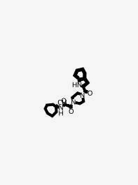 CC1(NC(=O)C(=O)N2CCN(C(=O)c3cc4ccccc4[nH]3)CC2)CCCCCC1